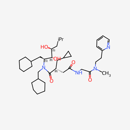 CC(C)C[C@H](O)[C@H](O)[C@H](CC1CCCCC1)N(CC1CCCCC1)C(=O)[C@@H](CC(=O)NCC(=O)N(C)CCc1ccccn1)CC1CC1